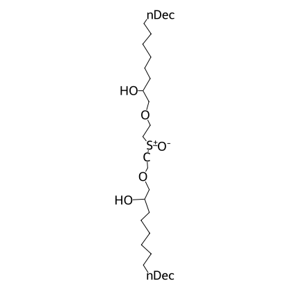 CCCCCCCCCCCCCCCCC(O)COCC[S+]([O-])CCOCC(O)CCCCCCCCCCCCCCCC